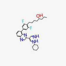 CCCC(O)CCCCc1c(F)cc(-c2cccc3ncc(/C(C=N)=C/NC4CCCCC4)nc23)cc1F